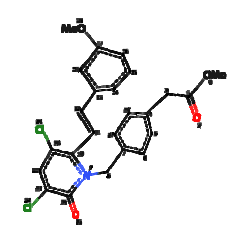 COC(=O)Cc1ccc(Cn2c(/C=C/c3cccc(OC)c3)c(Cl)cc(Cl)c2=O)cc1